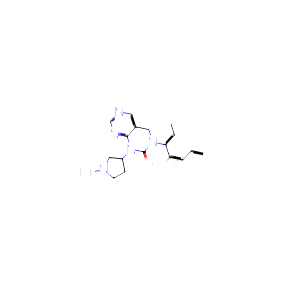 C=C/C=C(F)\C(=C\C)N1Cc2cncnc2N(C2CCN(CC)C2)C1=O